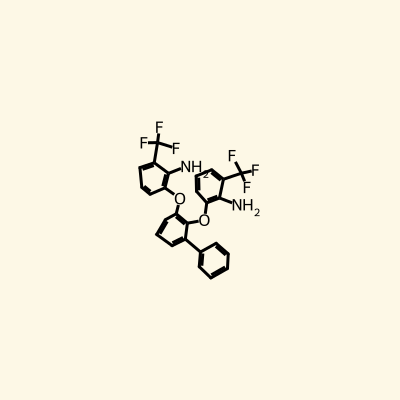 Nc1c(Oc2cccc(-c3ccccc3)c2Oc2cccc(C(F)(F)F)c2N)cccc1C(F)(F)F